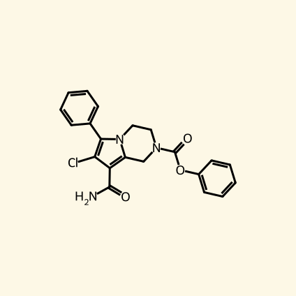 NC(=O)c1c(Cl)c(-c2ccccc2)n2c1CN(C(=O)Oc1ccccc1)CC2